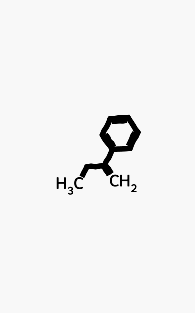 C=C(CC)c1ccccc1